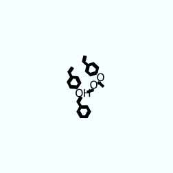 C=Cc1ccc(O)cc1.C=Cc1ccc(OC(C)OCC)cc1.C=Cc1ccccc1